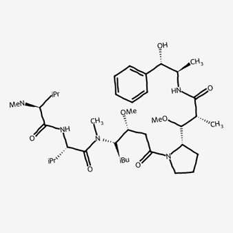 CC[C@H](C)[C@@H]([C@@H](CC(=O)N1CCC[C@H]1C(OC)[C@@H](C)C(=O)N[C@H](C)[C@@H](O)c1ccccc1)OC)N(C)C(=O)[C@@H](NC(=O)[C@@H](NC)C(C)C)C(C)C